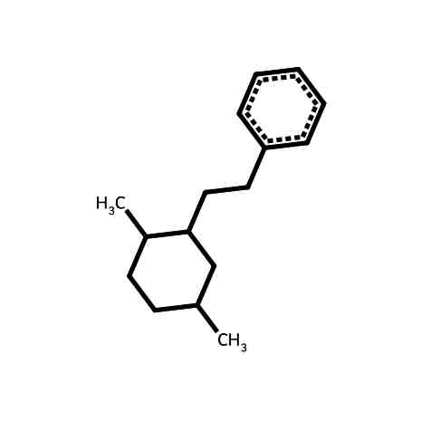 CC1CCC(C)C(CCc2ccccc2)C1